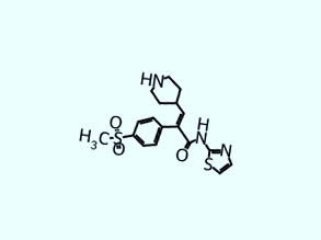 CS(=O)(=O)c1ccc(/C(=C\C2CCNCC2)C(=O)Nc2nccs2)cc1